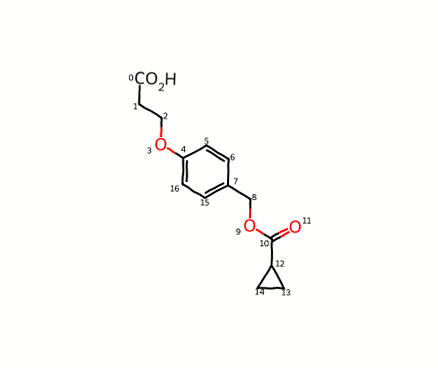 O=C(O)CCOc1ccc(COC(=O)C2CC2)cc1